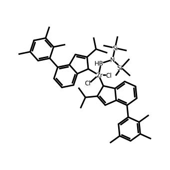 Cc1cc(C)c(C)c(-c2cccc3c2C=C(C(C)C)[CH]3[Zr]([Cl])([Cl])([BH]N([Si](C)(C)C)[Si](C)(C)C)[CH]2C(C(C)C)=Cc3c(-c4cc(C)cc(C)c4C)cccc32)c1